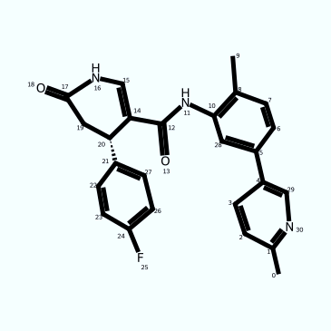 Cc1ccc(-c2ccc(C)c(NC(=O)C3=CNC(=O)C[C@H]3c3ccc(F)cc3)c2)cn1